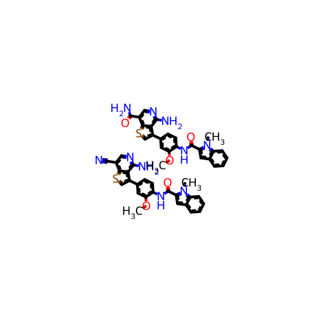 COc1cc(-c2csc3c(C#N)cnc(N)c23)ccc1NC(=O)c1cc2ccccc2n1C.COc1cc(-c2csc3c(C(N)=O)cnc(N)c23)ccc1NC(=O)c1cc2ccccc2n1C